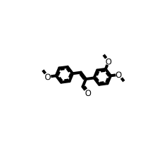 COc1ccc(C=C(C=O)c2ccc(OC)c(OC)c2)cc1